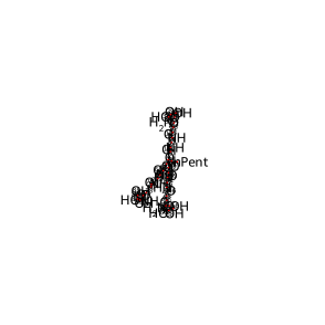 CCCCCC(=O)NC(COCCC(=O)NCCCNC(=O)CCCCOC1OC(CO)C(O)C(O)C1N)(COCCC(=O)NCCCNC(=O)CCCCOC1OC(CO)C(O)C(O)C1N)COCCC(=O)NCCCNC(=O)CCCCOC1OC(CO)C(O)C(O)C1N